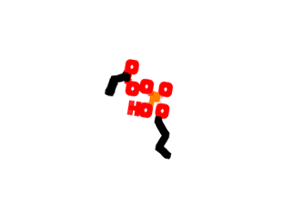 C=CC(=O)OOP(=O)(O)OCCCC